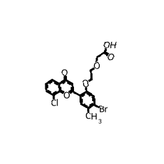 Cc1cc(-c2cc(=O)c3cccc(Cl)c3o2)c(OCCOCC(=O)O)cc1Br